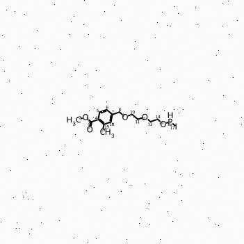 COC(=O)c1ccc(COCCOCCOPI)cc1C